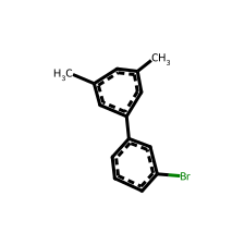 Cc1cc(C)cc(-c2cccc(Br)c2)c1